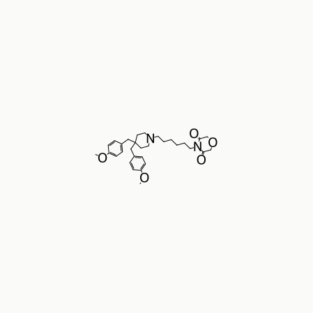 COc1ccc(CC2(Cc3ccc(OC)cc3)CCN(CCCCCCN3C(=O)COCC3=O)CC2)cc1